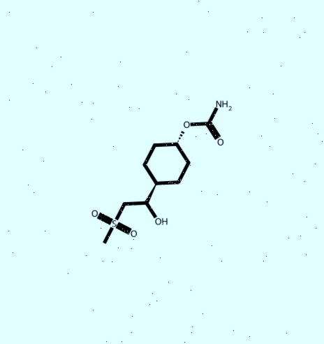 CS(=O)(=O)CC(O)[C@H]1CC[C@H](OC(N)=O)CC1